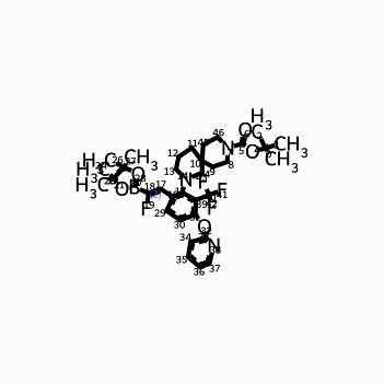 CC(C)(C)OC(=O)N1CCC2(CCCN(c3c(/C=C(\F)B4OC(C)(C)C(C)(C)O4)ccc(Oc4ccccn4)c3C(F)(F)F)C2)CC1